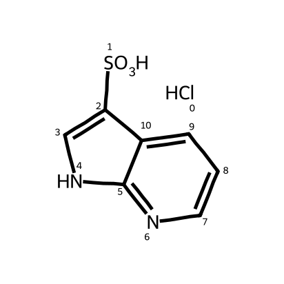 Cl.O=S(=O)(O)c1c[nH]c2ncccc12